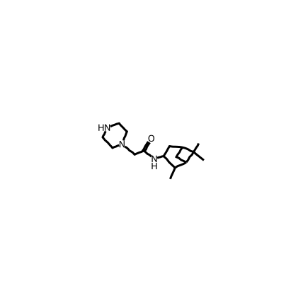 CC1C(NC(=O)CN2CCNCC2)CC2CC1C2(C)C